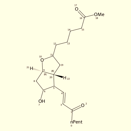 CCCCCC(=O)C=CC1C(O)C[C@H]2OC(CCCCC(=O)OC)C[C@H]12